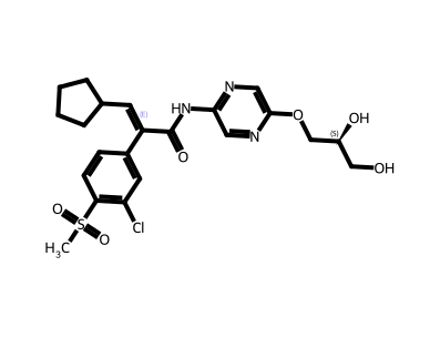 CS(=O)(=O)c1ccc(/C(=C\C2CCCC2)C(=O)Nc2cnc(OC[C@@H](O)CO)cn2)cc1Cl